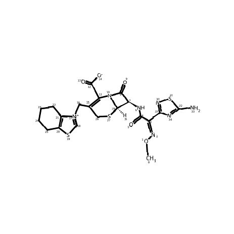 CO/N=C(\C(=O)N[C@@H]1C(=O)N2C(C(=O)[O-])=C(C[n+]3csc4c3CCCC4)CS[C@H]12)c1nsc(N)n1